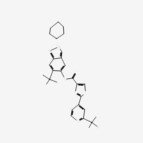 CC(C)(O)c1cc2nn([C@H]3CC[C@@H](O)CC3)cc2cc1NC(=O)c1coc(-c2ccnc(C(F)(F)F)c2)n1